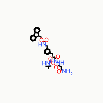 CC(C)(C)NC(=O)O[C@@H](Cc1cccc(CNC(=O)OCC2c3ccccc3-c3ccccc32)c1)C(=O)NNC(=O)CC(N)=O